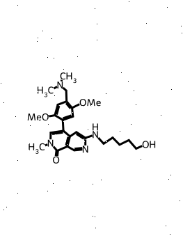 COc1cc(-c2cn(C)c(=O)c3cnc(NCCCCCO)cc23)c(OC)cc1CN(C)C